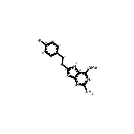 CSc1nc(N)nc2sc(CCc3ccc(F)cc3)nc12